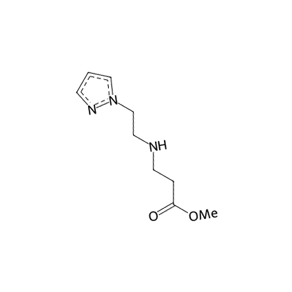 COC(=O)CCNCCn1cccn1